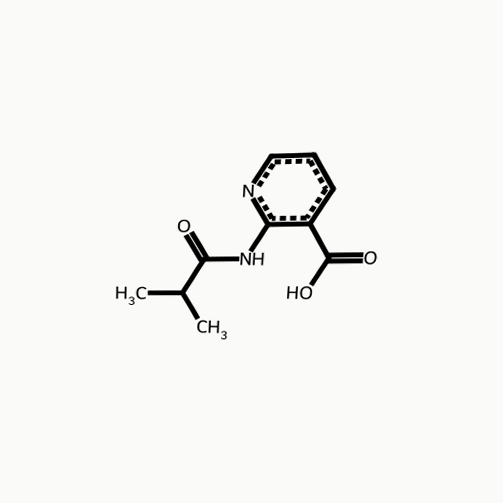 CC(C)C(=O)Nc1ncccc1C(=O)O